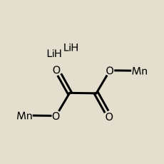 O=C([O][Mn])C(=O)[O][Mn].[LiH].[LiH]